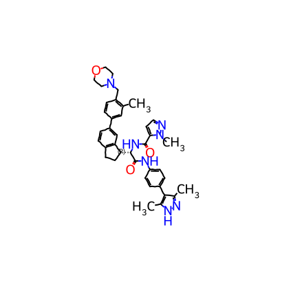 Cc1cc(-c2ccc3c(c2)[C@H](C(NC(=O)c2ccnn2C)C(=O)Nc2ccc(-c4c(C)n[nH]c4C)cc2)CC3)ccc1CN1CCOCC1